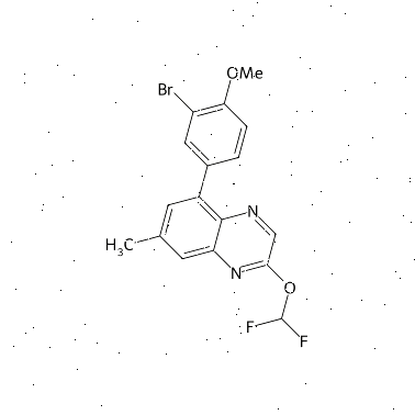 COc1ccc(-c2cc(C)cc3nc(OC(F)F)cnc23)cc1Br